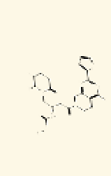 CC(C)(C)OC(=O)NC(CC(=O)N1CCc2c(nc(-c3ccco3)nc2C(F)(F)F)C1)CN1C(=O)CC[C@H](F)C1O